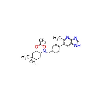 Cc1nc2nc[nH]c2cc1-c1ccc(CN(OC(=O)C(F)(F)F)C2CCC(C)(C)CC2)cc1